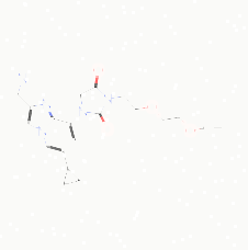 COCCOCCN1C(=O)CN(c2cc(C3CC3)cn3cc(CN)nc23)C1=O